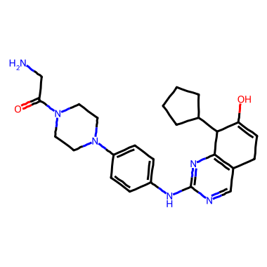 NCC(=O)N1CCN(c2ccc(Nc3ncc4c(n3)C(C3CCCC3)C(O)=CC4)cc2)CC1